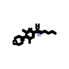 CCCC/C=[SH]/c1cc(C)c(N2CCOCC2)c(C)n1